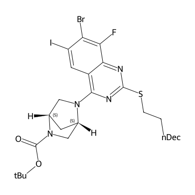 CCCCCCCCCCCCSc1nc(N2C[C@@H]3C[C@H]2CN3C(=O)OC(C)(C)C)c2cc(I)c(Br)c(F)c2n1